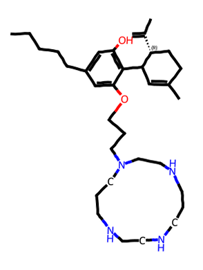 C=C(C)[C@@H]1CCC(C)=CC1c1c(O)cc(CCCCC)cc1OCCCN1CCCNCCNCCCNCC1